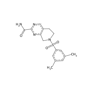 Cc1cc(C)cc(S(=O)(=O)N2CCc3[c]nc(C(N)=O)nc3C2)c1